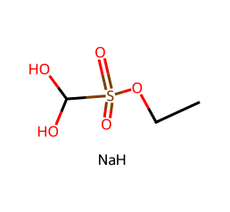 CCOS(=O)(=O)C(O)O.[NaH]